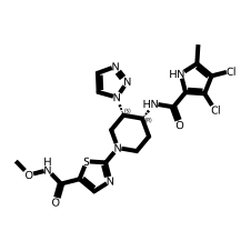 CONC(=O)c1cnc(N2CC[C@@H](NC(=O)c3[nH]c(C)c(Cl)c3Cl)[C@@H](n3ccnn3)C2)s1